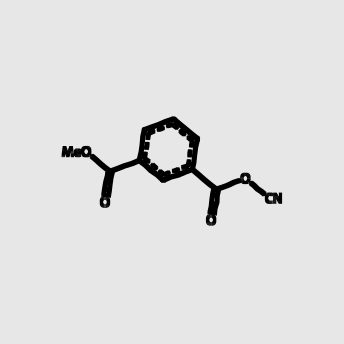 COC(=O)c1cccc(C(=O)OC#N)c1